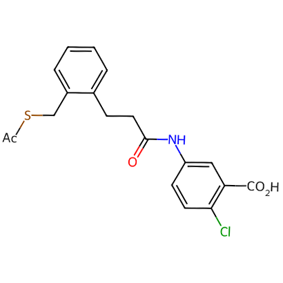 CC(=O)SCc1ccccc1CCC(=O)Nc1ccc(Cl)c(C(=O)O)c1